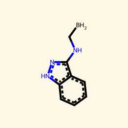 BCNc1n[nH]c2ccccc12